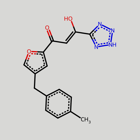 Cc1ccc(Cc2coc(C(=O)C=C(O)c3nn[nH]n3)c2)cc1